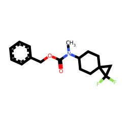 CN(C(=O)OCc1ccccc1)C1CCC2(CC1)CC2(F)F